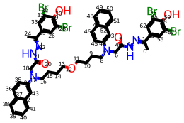 C/C(=N\NC(=O)CN(CCCCOCCCCN(CC(=O)N/N=C(\C)c1cc(Br)c(O)c(Br)c1)c1ccc2ccccc2c1)c1ccc2ccccc2c1)c1cc(Br)c(O)c(Br)c1